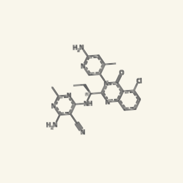 CC[C@H](Nc1nc(C)nc(N)c1C#N)c1nc2cccc(Cl)c2c(=O)n1-c1cnc(N)cc1C